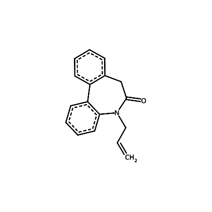 C=CCN1C(=O)Cc2ccccc2-c2ccccc21